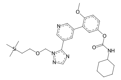 COc1ccc(OC(=O)NC2CCCCC2)cc1-c1cncc(-c2ncnn2COCC[Si](C)(C)C)c1